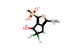 CC(C)COc1sc(S(C)(=O)=O)c2c1CC(F)(F)C2O